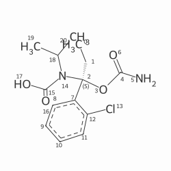 CC[C@](OC(N)=O)(c1ccccc1Cl)N(C(=O)O)C(C)C